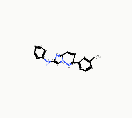 COc1cccc(-c2ccc3nc(Nc4ccccc4)cn3n2)c1